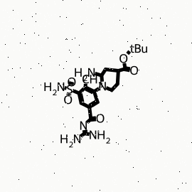 Cc1c(N2CCC(C(=O)OC(C)(C)C)CC2N)cc(C(=O)N=C(N)N)cc1S(N)(=O)=O